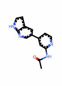 CC(=O)Nc1cc(-c2cnc3[nH]ccc3c2)ccn1